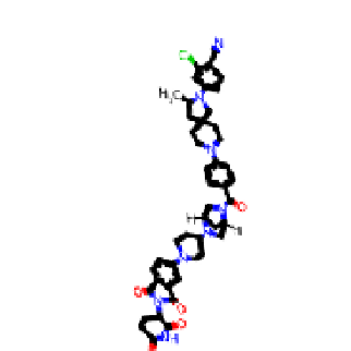 CC1CC2(CCN(c3ccc(C(=O)N4C[C@@H]5C[C@H]4CN5C4CCN(c5ccc6c(c5)C(=O)N(C5CCC(=O)NC5=O)C6=O)CC4)cc3)CC2)CN1c1ccc(C#N)c(Cl)c1